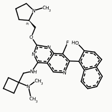 CN1CCC[C@@H]1COc1nc(NCC2(N(C)C)CCC2)c2cnc(-c3c(O)ccc4ccccc34)c(F)c2n1